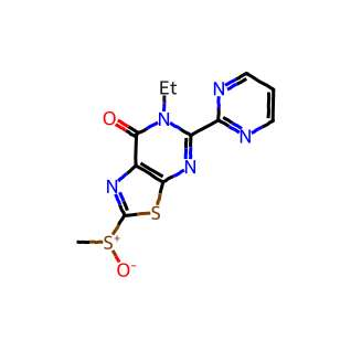 CCn1c(-c2ncccn2)nc2sc([S+](C)[O-])nc2c1=O